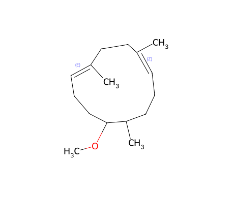 COC1CC/C=C(\C)CC/C(C)=C\CCC1C